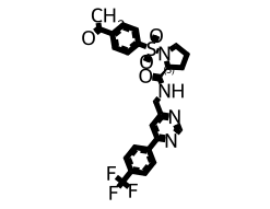 CC(=O)c1ccc(S(=O)(=O)N2CCC[C@H]2C(=O)NCc2cc(-c3ccc(C(F)(F)F)cc3)ncn2)cc1